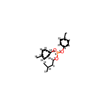 Cc1ccc(OP(OCCC(C)C)Oc2ccc(C)cc2)cc1